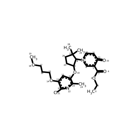 CCOC(=O)c1cn(C2C(Oc3cc(OCCCOC)c(Cl)nc3C)CCC2(C)C)ccc1=O